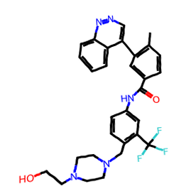 Cc1ccc(C(=O)Nc2ccc(CN3CCN(CCO)CC3)c(C(F)(F)F)c2)cc1-c1cnnc2ccccc12